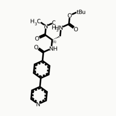 CN(C)C(=O)[C@H](CNC(=O)OC(C)(C)C)NC(=O)c1ccc(-c2ccncc2)cc1